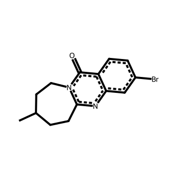 CC1CCc2nc3cc(Br)ccc3c(=O)n2CC1